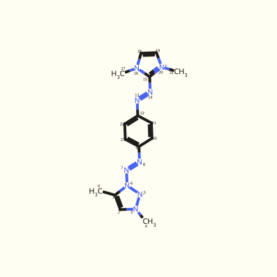 CC1=CN(C)[N]N1N=Nc1ccc(N=Nc2n(C)cc[n+]2C)cc1